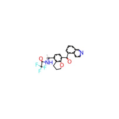 C[C@@H](NC(=O)C(F)(F)F)c1ccc(C(=O)c2cccc3cnccc23)c2c1CCCO2